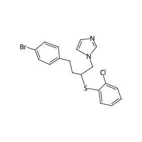 Clc1ccccc1SC(CCc1ccc(Br)cc1)Cn1ccnc1